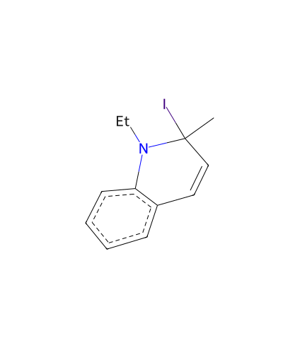 CCN1c2ccccc2C=CC1(C)I